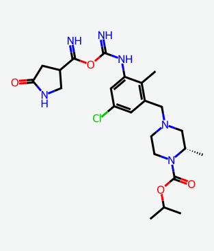 Cc1c(CN2CCN(C(=O)OC(C)C)[C@@H](C)C2)cc(Cl)cc1NC(=N)OC(=N)C1CNC(=O)C1